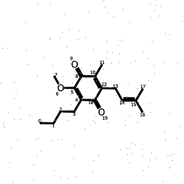 CCCCC1=C(OC)C(=O)C(C)=C(CC=C(C)C)C1=O